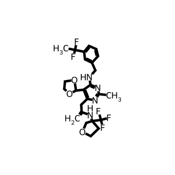 C=C(Cc1nc(C)nc(NCc2cccc(C(C)(F)F)c2)c1C1OCCO1)NC1(C(F)(F)F)CCOC1